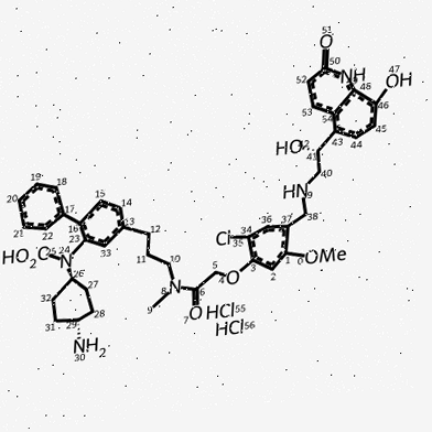 COc1cc(OCC(=O)N(C)CCCc2ccc(-c3ccccc3)c(N(C(=O)O)[C@H]3CC[C@H](N)CC3)c2)c(Cl)cc1CNC[C@H](O)c1ccc(O)c2[nH]c(=O)ccc12.Cl.Cl